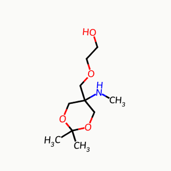 CNC1(COCCO)COC(C)(C)OC1